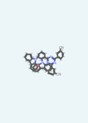 N#Cc1cccc(-c2nc(-c3cccc(C#N)c3)nc(-c3cccc(-n4c5ccccc5c5ccccc54)c3-n3c4ccccc4c4ccccc43)n2)c1